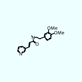 COc1ccc(CCN(C)C(=O)C=Cc2cccnc2)cc1OC